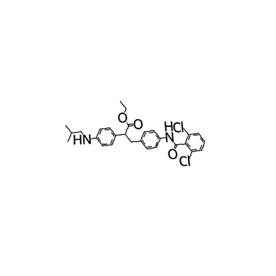 CCOC(=O)C(Cc1ccc(NC(=O)c2c(Cl)cccc2Cl)cc1)c1ccc(NCC(C)C)cc1